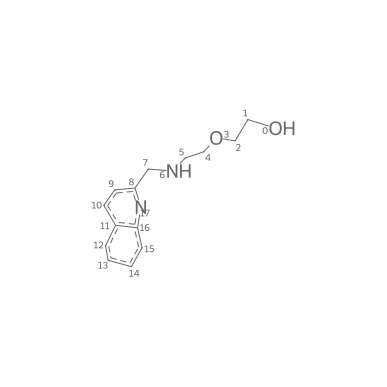 OCCOCCNCc1ccc2ccccc2n1